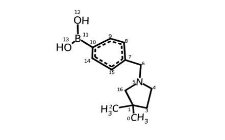 CC1(C)CCN(Cc2ccc(B(O)O)cc2)C1